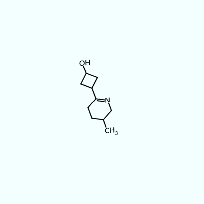 CC1CCC(C2CC(O)C2)=NC1